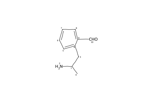 CC(N)Cc1ccccc1C=O